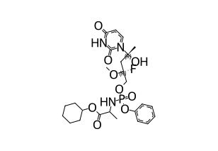 CO[C@](F)(COP(=O)(NC(C)C(=O)OC1CCCCC1)Oc1ccccc1)C[C@@](C)(O)n1ccc(=O)[nH]c1=O